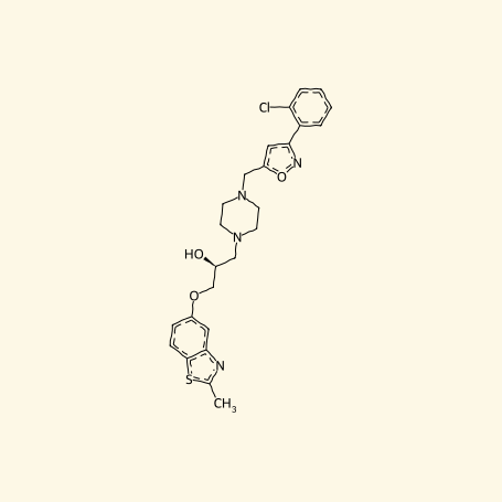 Cc1nc2cc(OC[C@@H](O)CN3CCN(Cc4cc(-c5ccccc5Cl)no4)CC3)ccc2s1